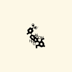 CCc1cc(C)cc(CC)c1C1=C(O)[C@@H]2[C@@H]3O[C@@H](C[C@H]3c3cc([N+](=O)[O-])ccc3C)[C@@H]2C1=O